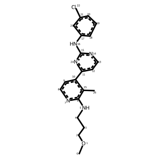 COCCCNc1nccc(-c2ccnc(Nc3cccc(Cl)c3)n2)c1C